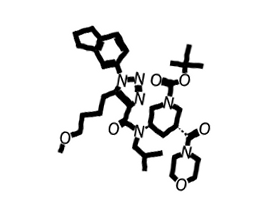 COCCCCc1c(C(=O)N(CC(C)C)[C@H]2C[C@@H](C(=O)N3CCOCC3)CN(C(=O)OC(C)(C)C)C2)nnn1-c1ccc2c(c1)CCC2